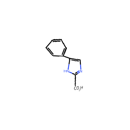 O=C(O)c1ncc(-c2ccccc2)[nH]1